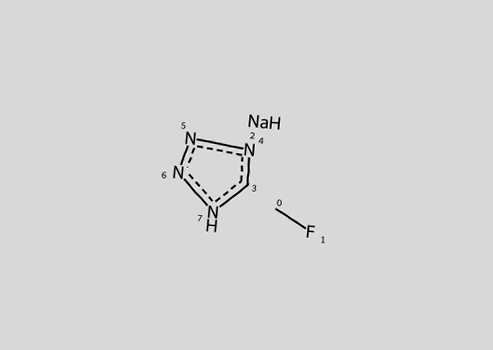 CF.[NaH].c1nnn[nH]1